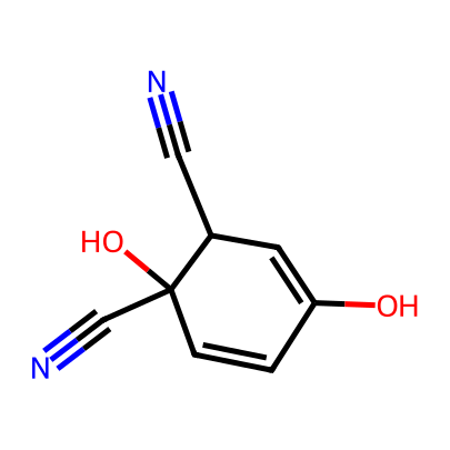 N#CC1C=C(O)C=CC1(O)C#N